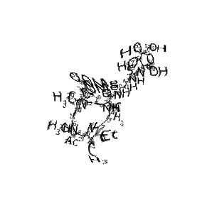 CC[C@H]1c2cc3[nH]c(c(CC(=O)OC)c4nc(cc5[nH]c(cc(n2)[C@@H]1C)c(C(C)=O)c5C)[C@@H](C)[C@@H]4CCC(=O)OC)c(C(=O)NCCCNC(=S)NC1C(O)OC(CO)C(O)C1O)c3C